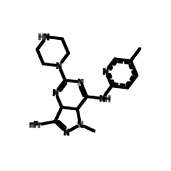 CCCC1=NN(C)C2C(Nc3ccc(C)cn3)=NC(N3CCNCC3)=NC12